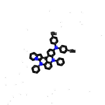 CC(C)(C)c1ccc(N(c2ccc(C(C)(C)C)cc2)c2ccc3c(c2)N(c2ccccc2)c2cccc4c2B3c2cc3ccccn3c2N4c2ccccc2)cc1